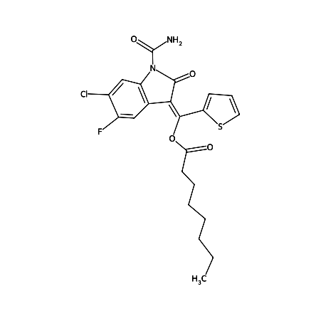 CCCCCCCC(=O)OC(=C1C(=O)N(C(N)=O)c2cc(Cl)c(F)cc21)c1cccs1